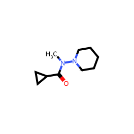 CN(C(=O)C1CC1)N1[CH]CCCC1